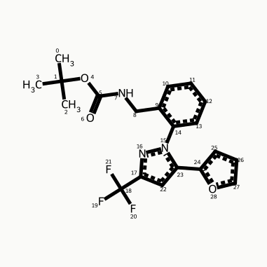 CC(C)(C)OC(=O)NCc1ccccc1-n1nc(C(F)(F)F)cc1-c1ccco1